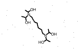 CC(O)N(CCCCCCN(C(C)O)C(C)O)C(C)O